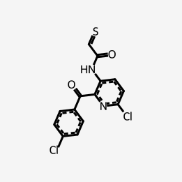 O=C(C=S)Nc1ccc(Cl)nc1C(=O)c1ccc(Cl)cc1